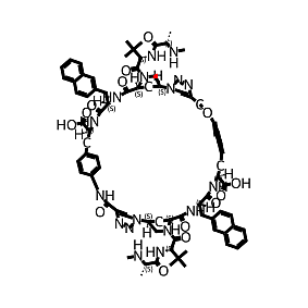 CN[C@@H](C)C(=O)N[C@H](C(=O)N1C[C@@H]2C[C@H]1C(=O)N[C@@H](Cc1ccc3ccccc3c1)C(=O)N[C@H](C(=O)O)Cc1ccc(cc1)NC(=O)c1cn(nn1)[C@H]1C[C@@H](C(=O)N[C@@H](Cc3ccc4ccccc4c3)C(=O)N[C@H](C(=O)O)Cc3ccc(cc3)OCc3cn2nn3)N(C(=O)[C@@H](NC(=O)[C@H](C)NC)C(C)(C)C)C1)C(C)(C)C